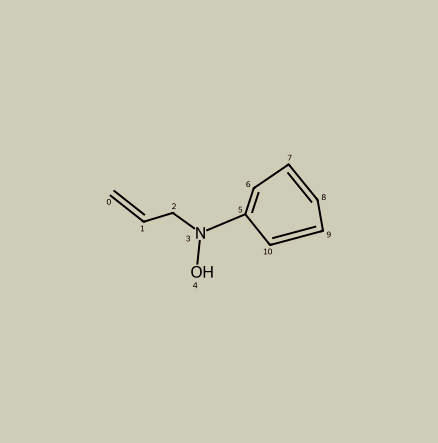 C=CCN(O)c1ccccc1